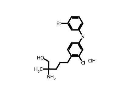 CCc1cccc(Sc2ccc(CCCC(C)(N)CO)c(Cl)c2)c1.Cl